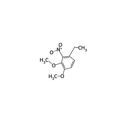 C[CH]c1ccc(OC)c(OC)c1[N+](=O)[O-]